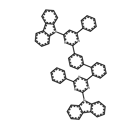 c1ccc(-c2cc(-n3c4ccccc4c4ccccc43)nc(-c3cccc(-c4ccccc4-c4nc(-c5ccccc5)nc(-n5c6ccccc6c6ccccc65)n4)c3)n2)cc1